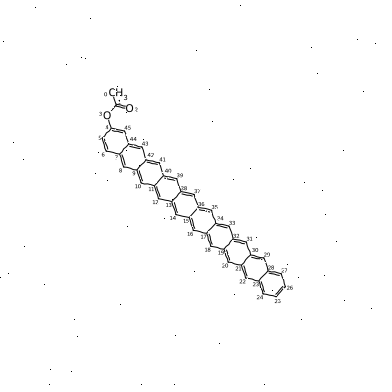 CC(=O)Oc1ccc2cc3cc4cc5cc6cc7cc8cc9cc%10ccccc%10cc9cc8cc7cc6cc5cc4cc3cc2c1